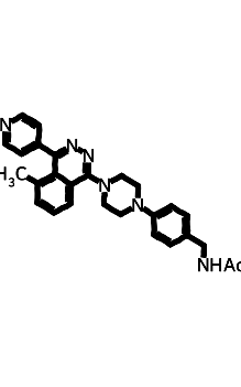 CC(=O)NCc1ccc(N2CCN(c3nnc(-c4ccncc4)c4c(C)cccc34)CC2)cc1